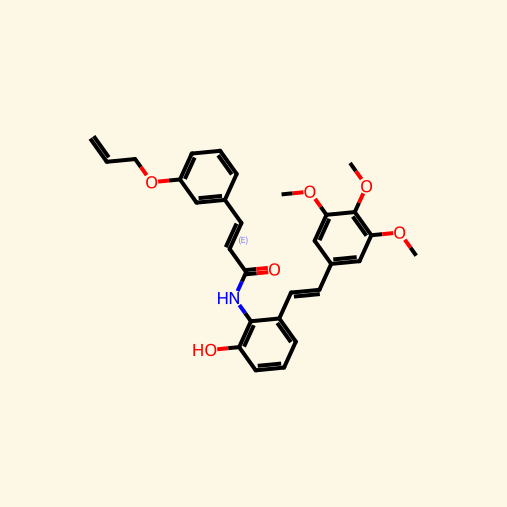 C=CCOc1cccc(/C=C/C(=O)Nc2c(O)cccc2C=Cc2cc(OC)c(OC)c(OC)c2)c1